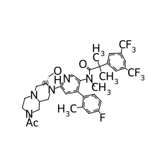 CC(=O)N1CCN2C[C@H](CO)N(c3cc(-c4ccc(F)cc4C)c(N(C)C(=O)C(C)(C)c4cc(C(F)(F)F)cc(C(F)(F)F)c4)cn3)CC2C1